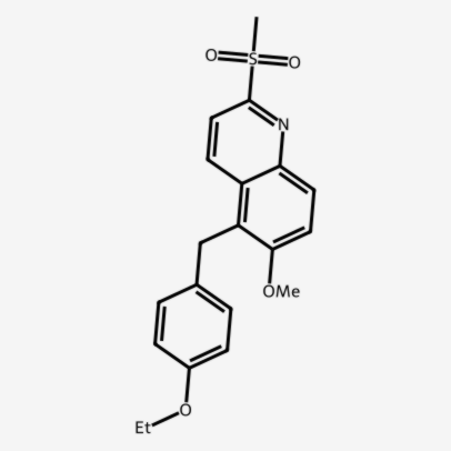 CCOc1ccc(Cc2c(OC)ccc3nc(S(C)(=O)=O)ccc23)cc1